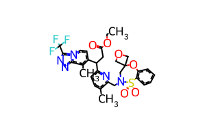 CCOC(=O)CC(c1ccc(C)c(CN2CC3(COC3)Oc3ccccc3S2(=O)=O)n1)c1ccn2c(C(F)(F)F)nnc2c1C